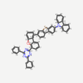 c1ccc(-c2nc(-c3ccccc3)nc(-c3cccc4c3oc3cccc(-c5ccc6c(c5)sc5cc(-n7c8ccccc8c8ccccc87)ccc56)c34)n2)cc1